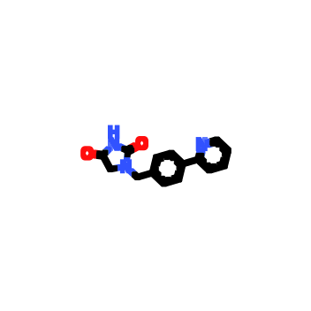 O=C1CN(Cc2ccc(-c3ccccn3)cc2)C(=O)N1